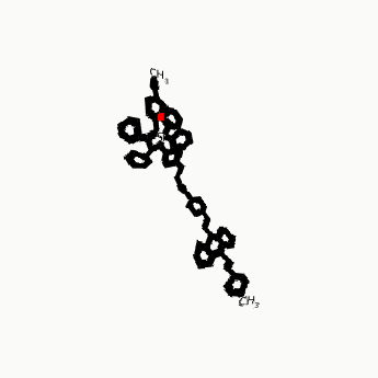 CC#Cc1ccc(C2=C(c3ccccc3)C(c3ccccc3)=C(c3ccc(CCC#Cc4ccc(/C=C/c5c6ccccc6c(/C=C/c6ccc(C)cc6)c6ccccc56)cc4)cc3)[Si]2(c2ccccc2)c2ccccc2)cc1